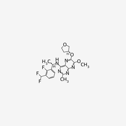 COc1nc2nc(C)nc(N[C@H](C)c3cccc(C(F)F)c3F)c2nc1O[C@H]1CCOC1